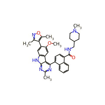 COc1cc2c(cc1-c1c(C)noc1C)[nH]c1nc(C)nc(-c3ccc(C(=O)NCC4CCN(C)CC4)c4ccccc34)c12